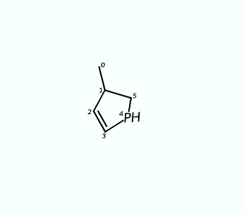 CC1C=CPC1